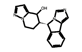 OC1c2ccnn2CCC1[C@H]1c2ccccc2-c2cncn21